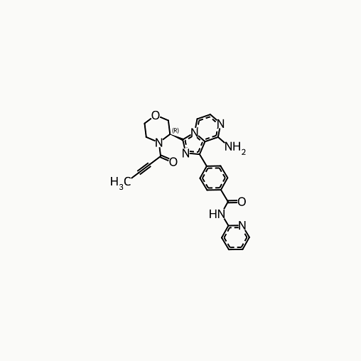 CC#CC(=O)N1CCOC[C@H]1c1nc(-c2ccc(C(=O)Nc3ccccn3)cc2)c2c(N)nccn12